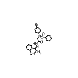 CC(=NNC(=O)CN(c1ccc(Br)cc1)S(=O)(=O)c1ccccc1)c1ccccc1O